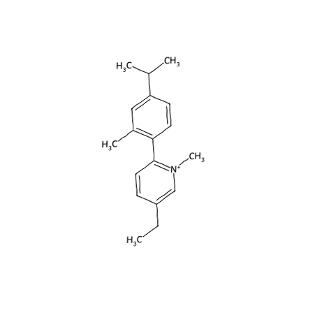 CCc1ccc(-c2ccc(C(C)C)cc2C)[n+](C)c1